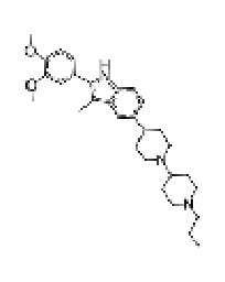 CCCN1CCC(N2CCC(c3ccc4[nH]c(-c5ccc(OC)c(OC)c5)c(C)c4c3)CC2)CC1